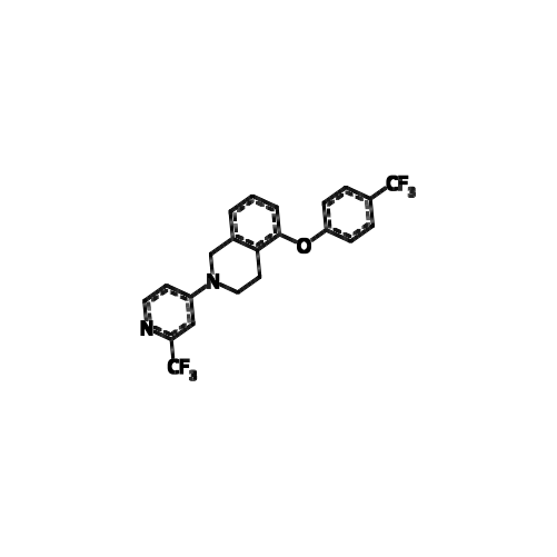 FC(F)(F)c1ccc(Oc2cccc3c2CCN(c2ccnc(C(F)(F)F)c2)C3)cc1